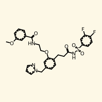 COc1cccc(C(=O)NCCOc2cc(Cn3cccn3)ccc2CCC(=O)NS(=O)(=O)c2ccc(F)c(F)c2)c1